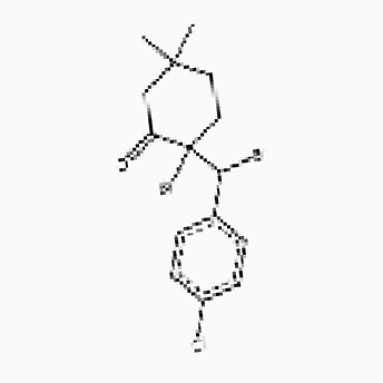 CC1(C)CCC(Br)(C(Br)c2ccc(Cl)cc2)C(=O)C1